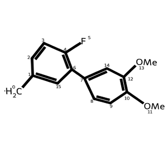 [CH2]c1ccc(F)c(-c2ccc(OC)c(OC)c2)c1